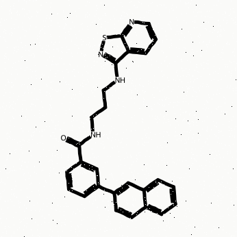 O=C(NCCCNc1nsc2ncccc12)c1cccc(-c2ccc3ccccc3c2)c1